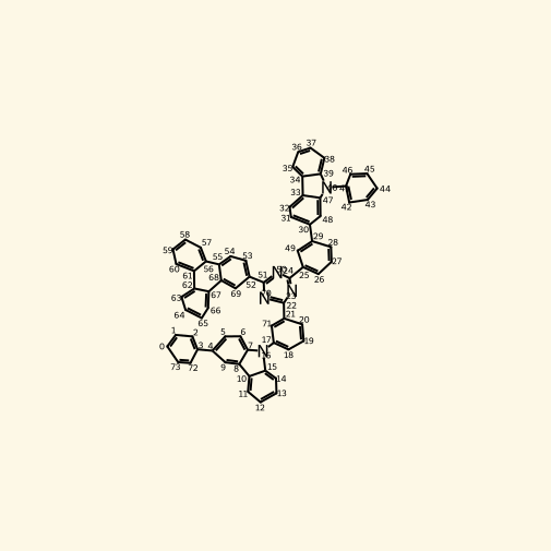 c1ccc(-c2ccc3c(c2)c2ccccc2n3-c2cccc(-c3nc(-c4cccc(-c5ccc6c7ccccc7n(-c7ccccc7)c6c5)c4)nc(-c4ccc5c6ccccc6c6ccccc6c5c4)n3)c2)cc1